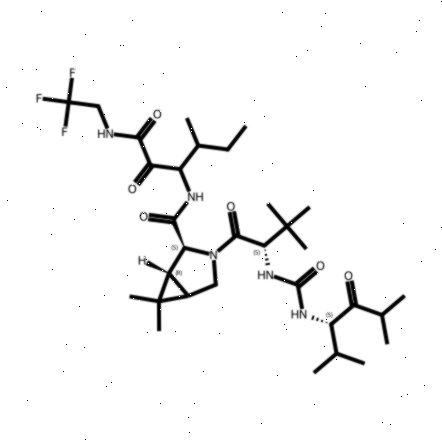 CCC(C)C(NC(=O)[C@@H]1[C@@H]2C(CN1C(=O)[C@@H](NC(=O)N[C@H](C(=O)C(C)C)C(C)C)C(C)(C)C)C2(C)C)C(=O)C(=O)NCC(F)(F)F